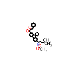 CC(=O)O/N=C(\CCC(C)C)c1ccc2c(c1)C1(CCCC1)c1cc(C(=O)c3cc4ccccc4o3)ccc1-2